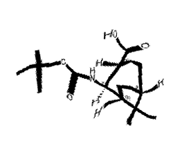 CC(C)(C)OC(=O)N[C@H]1[C@H](C(=O)O)C[C@H]2C[C@@H]1C2(C)C